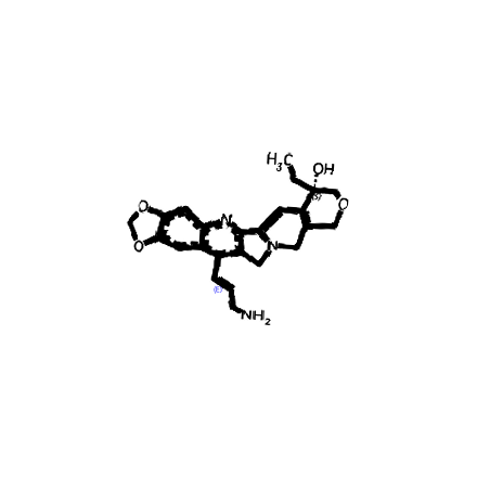 CC[C@@]1(O)COCC2=C1C=C1c3nc4cc5c(cc4c(/C=C/CN)c3CN1C2)OCO5